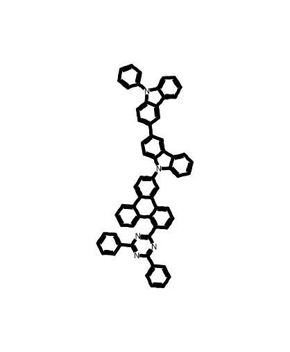 c1ccc(-c2nc(-c3ccccc3)nc(-c3cccc4c5cc(-n6c7ccccc7c7cc(-c8ccc9c(c8)c8ccccc8n9-c8ccccc8)ccc76)ccc5c5ccccc5c34)n2)cc1